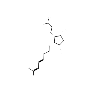 CCCCC[C@@H](CC[C@@H]1[C@@H](CCC/C=C/C=C(\C)OC(C)=O)[C@@H](OC(C)=O)C[C@H]1OC(C)=O)OC(C)=O